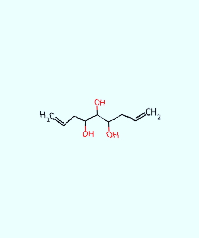 C=CCC(O)C(O)C(O)CC=C